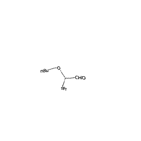 CCCCOC(C=O)CCC